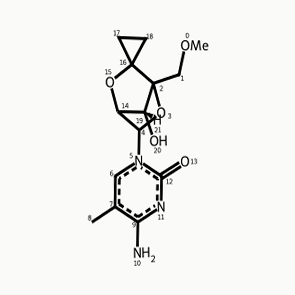 COCC12OC(n3cc(C)c(N)nc3=O)C(OC13CC3)[C@H]2O